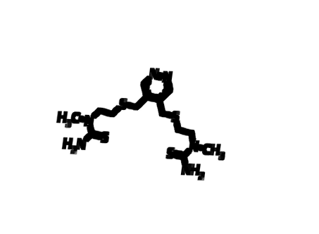 CN(CCSCc1cnncc1CSCCN(C)C(N)=S)C(N)=S